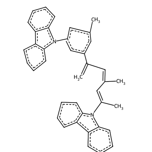 C=C(/C=C(C)\C=C(/C)n1c2ccccc2c2ccccc21)c1cc(C)cc(-n2c3ccccc3c3ccccc32)c1